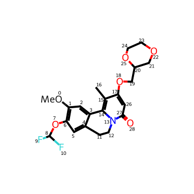 COc1cc2c(cc1OC(F)F)CCn1c-2c(C)c(OCC2COCCO2)cc1=O